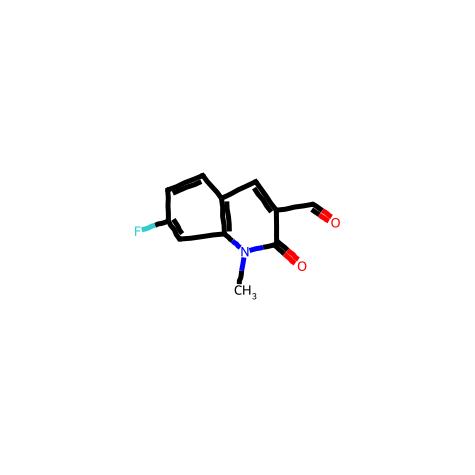 Cn1c(=O)c(C=O)cc2ccc(F)cc21